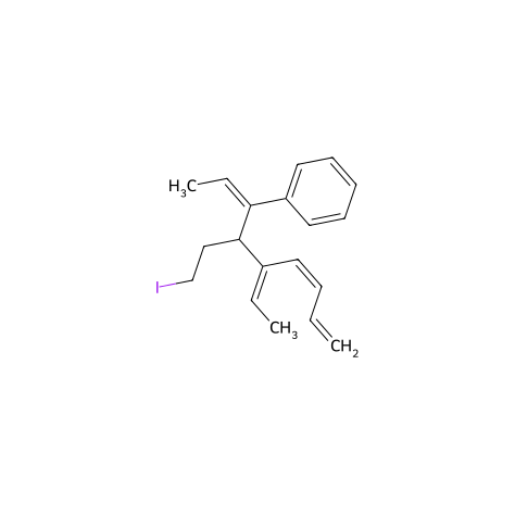 C=C/C=C\C(=C/C)C(CCI)/C(=C\C)c1ccccc1